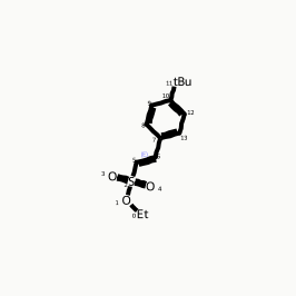 CCOS(=O)(=O)/C=C/c1ccc(C(C)(C)C)cc1